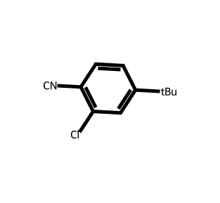 [C-]#[N+]c1ccc(C(C)(C)C)cc1Cl